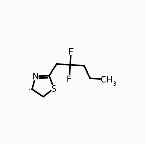 CCCC(F)(F)CC1=N[CH]CS1